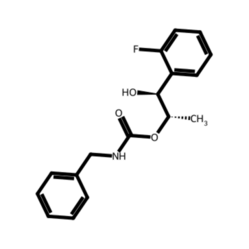 C[C@H](OC(=O)NCc1ccccc1)[C@@H](O)c1ccccc1F